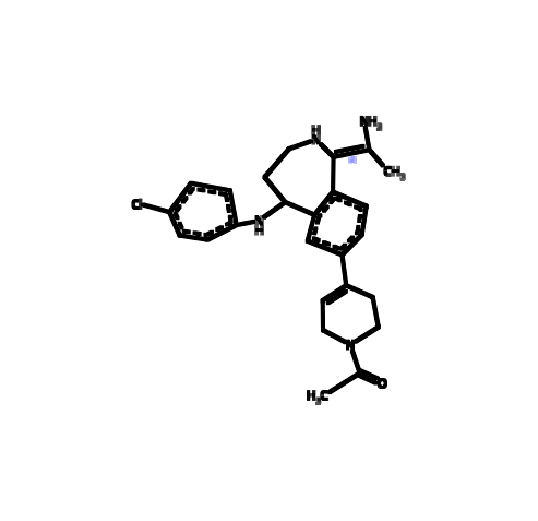 CC(=O)N1CC=C(c2ccc3c(c2)C(Nc2ccc(Cl)cc2)CCN/C3=C(/C)N)CC1